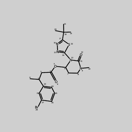 CC(CC(=O)OC1CCN(C)C(=O)N1c1nnc(C(C)(C)C)s1)c1cccc(Br)c1